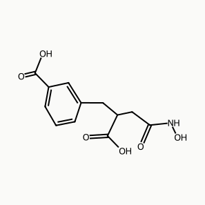 O=C(CC(Cc1cccc(C(=O)O)c1)C(=O)O)NO